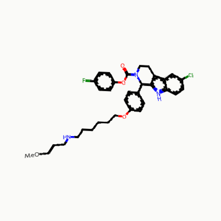 COCCCNCCCCCCOc1ccc(C2c3[nH]c4ccc(Cl)cc4c3CCN2C(=O)Oc2ccc(F)cc2)cc1